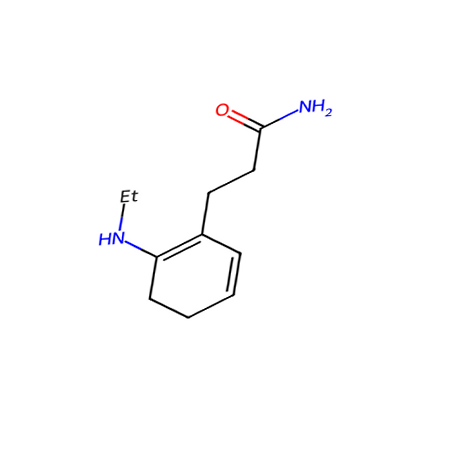 CCNC1=C(CCC(N)=O)C=CCC1